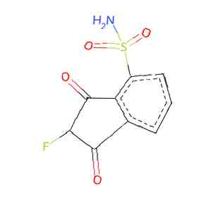 NS(=O)(=O)c1cccc2c1C(=O)C(F)C2=O